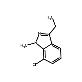 CCc1nn(C)c2c(Cl)cccc12